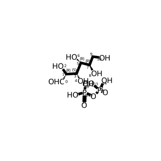 O=C[C@H](O)[C@@H](O)[C@H](O)[C@H](O)CO.O=P(O)(O)OP(=O)(O)O